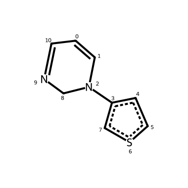 C1=CN(c2ccsc2)CN=C1